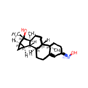 C[C@]12CC/C(=N\O)C=C1CC[C@H]1[C@@H]3[C@H]4C[C@H]4[C@](C)(O)[C@@]3(C)CC[C@@H]12